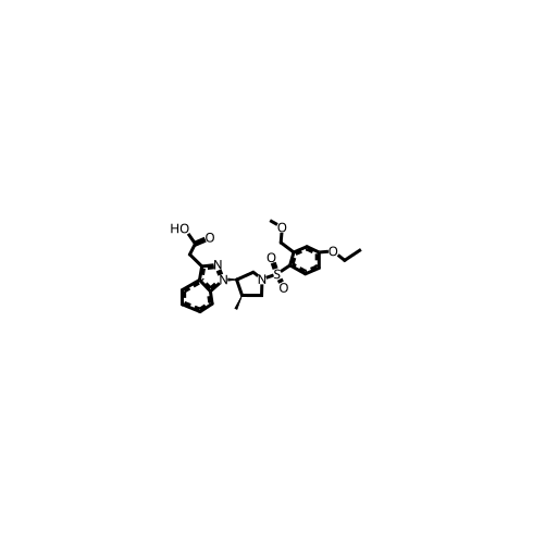 CCOc1ccc(S(=O)(=O)N2C[C@@H](C)[C@@H](n3nc(CC(=O)O)c4ccccc43)C2)c(COC)c1